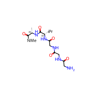 CNC(=O)[C@H](C)NC(=O)[C@@H](NC(=O)CNC(=O)CNC(=O)CN)C(C)C